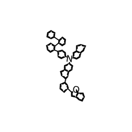 c1ccc(-c2ccccc2-c2ccccc2-c2ccc(N(c3ccc4ccccc4c3)c3ccc4cc(-c5cccc(-c6cc7ccccc7o6)c5)ccc4c3)cc2)cc1